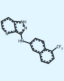 FC(F)(F)c1cccc2cc(Nc3n[nH]c4cccnc34)ccc12